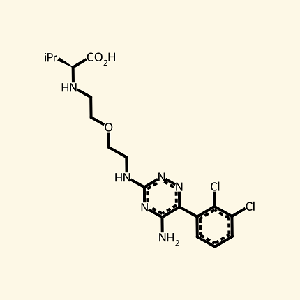 CC(C)[C@H](NCCOCCNc1nnc(-c2cccc(Cl)c2Cl)c(N)n1)C(=O)O